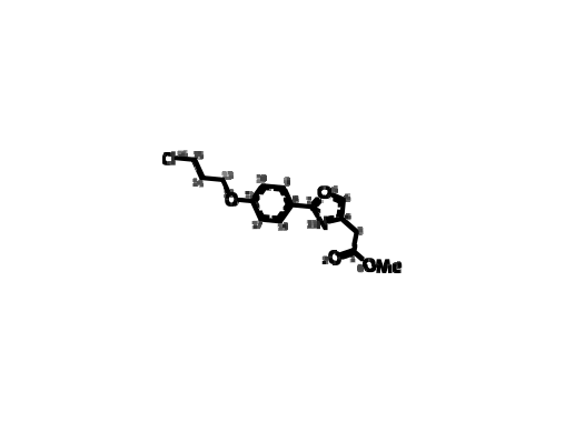 COC(=O)Cc1coc(-c2ccc(OCCCCl)cc2)n1